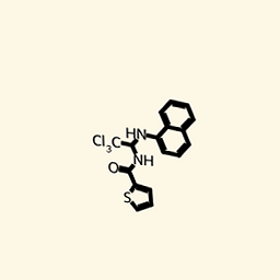 O=C(NC(Nc1cccc2ccccc12)C(Cl)(Cl)Cl)c1cccs1